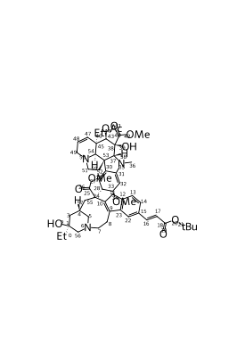 CC[C@]1(O)C[C@H]2CN(CCC3=C(Cc4ccc(/C=C/C(=O)OC(C)(C)C)cc43)[C@@](C(=O)OC)(C3C=C4C(=CC3OC)N(C)[C@H]3[C@@](O)(C(=O)OC)[C@H](OC(C)=O)[C@]5(CC)C=CCN6CC[C@]43[C@@H]65)C2)C1